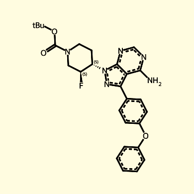 CC(C)(C)OC(=O)N1CC[C@H](n2nc(-c3ccc(Oc4ccccc4)cc3)c3c(N)ncnc32)[C@@H](F)C1